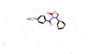 O=C(O)c1ccc(C(=O)N2C(=O)OCC2c2ccccc2)cc1